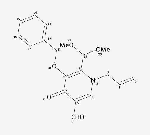 C=CCn1cc(C=O)c(=O)c(OCc2ccccc2)c1C(OC)OC